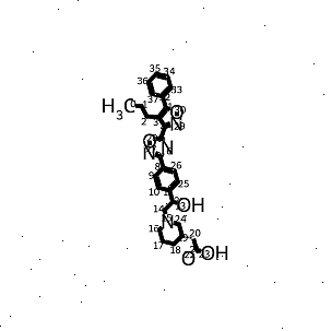 CCCc1c(-c2nc(-c3ccc(C(O)CN4CCC[C@@H](CC(=O)O)C4)cc3)no2)noc1-c1ccccc1